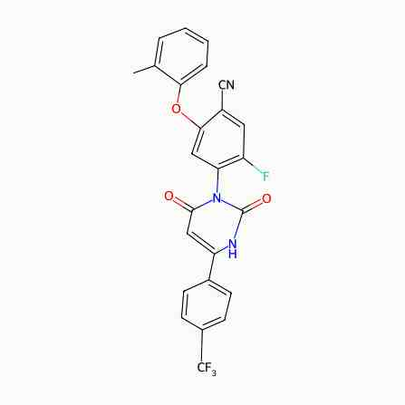 Cc1ccccc1Oc1cc(-n2c(=O)cc(-c3ccc(C(F)(F)F)cc3)[nH]c2=O)c(F)cc1C#N